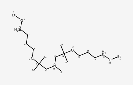 CCO[SiH2]CCCOC(C)(C)CN(C)CC(C)(C)OCCC[SiH2]OCC